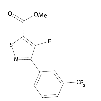 COC(=O)c1snc(-c2cccc(C(F)(F)F)c2)c1F